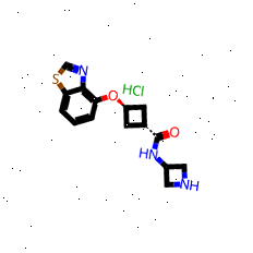 Cl.O=C(NC1CNC1)[C@H]1C[C@H](Oc2cccc3scnc23)C1